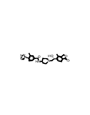 Cc1cc(C(=O)NC2CCN(C[C@H](O)c3ccc4c(c3C)COC4=O)CC2)ccc1-n1cnnn1